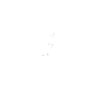 C=C(C)C(=O)OC(CCO)c1ccc(CCc2ccc(CCCC(C)C)cc2)cc1